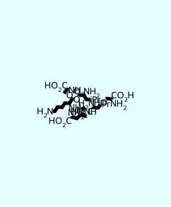 CC(C)C[C@@H](N)C(=O)OC(=O)[C@@H](N)CCCCN.CC(C)C[C@H](N)C(=O)O.C[C@@H](N)C(=O)O.N[C@@H](Cc1c[nH]cn1)C(=O)O.N[C@H](CO)C(=O)O